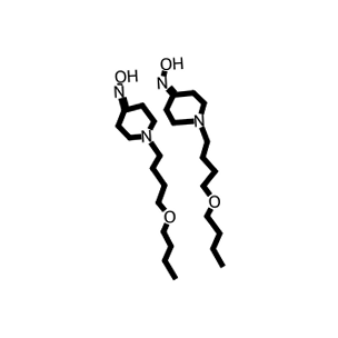 CCCCOCCCCN1CCC(=NO)CC1.CCCCOCCCCN1CCC(=NO)CC1